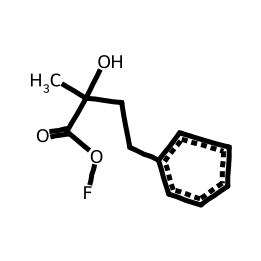 CC(O)(CCc1ccccc1)C(=O)OF